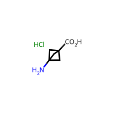 Cl.NC12CC(C(=O)O)(C1)C2